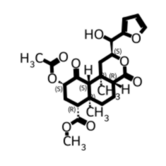 COC(=O)[C@@H]1C[C@H](OC(C)=O)C(=O)[C@H]2[C@@]1(C)CC[C@H]1C(=O)O[C@H](C(O)c3ccco3)C[C@]21C